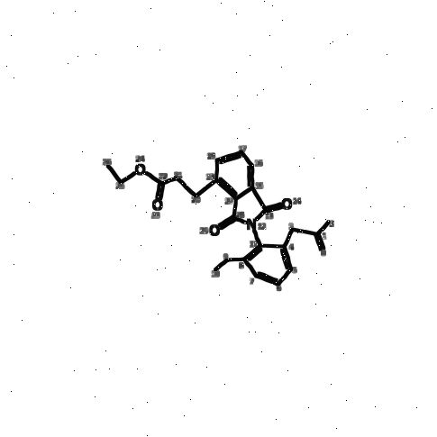 C=C(C)Cc1cccc(CC)c1N1C(=O)c2cccc(CCC(=O)OCC)c2C1=O